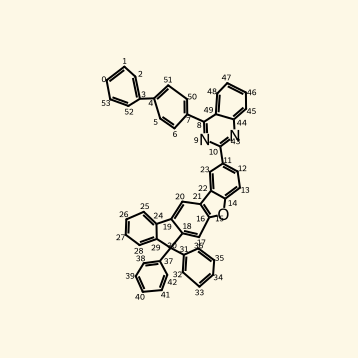 c1ccc(-c2ccc(-c3nc(-c4ccc5oc6cc7c(cc6c5c4)-c4ccccc4C7(c4ccccc4)c4ccccc4)nc4ccccc34)cc2)cc1